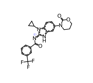 O=C(/N=c1\[nH]c2cc(N3CCCOC3=O)ccc2n1C1CC1)c1cccc(C(F)(F)F)c1